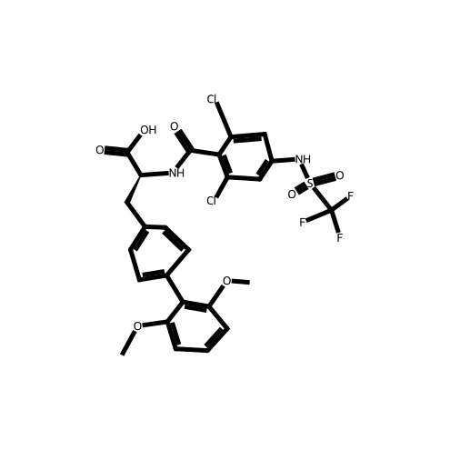 COc1cccc(OC)c1-c1ccc(C[C@H](NC(=O)c2c(Cl)cc(NS(=O)(=O)C(F)(F)F)cc2Cl)C(=O)O)cc1